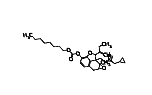 C=C(CC)C1Oc2c(OC(=O)OCCCCCCCC)ccc3c2C1(CCNCC1CC1)C1(C)OC1C3